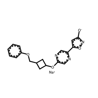 [Na+].[O-]c1cc(-c2cnc(OC3CC(COc4ccccc4)C3)cn2)on1